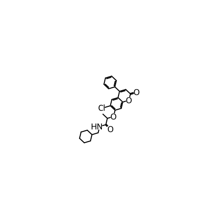 CC(Oc1cc2oc(=O)cc(-c3ccccc3)c2cc1Cl)C(=O)NCC1CCCCC1